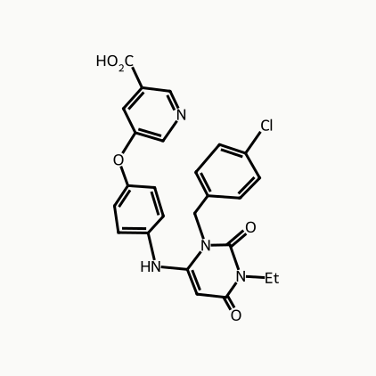 CCn1c(=O)cc(Nc2ccc(Oc3cncc(C(=O)O)c3)cc2)n(Cc2ccc(Cl)cc2)c1=O